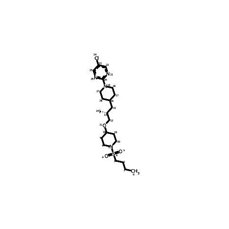 CCCCS(=O)(=O)N1CCC(OC[C@H](I)CC2CCN(c3ncc(Cl)cn3)CC2)CC1